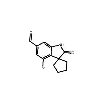 O=Cc1cc(Br)c2c(c1)NC(=O)C21CCCC1